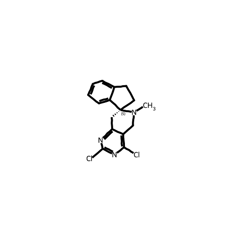 CN1Cc2c(Cl)nc(Cl)nc2C[C@]12CCc1ccccc12